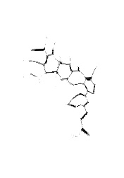 COC(=O)/C=C/c1cccc(-c2ccc(O)c3c2C[C@@H]2C[C@@H]4[C@@H](N(C)C)C(O)=C(C(N)=O)C(=O)[C@]4(O)C(O)=C2C3=O)c1